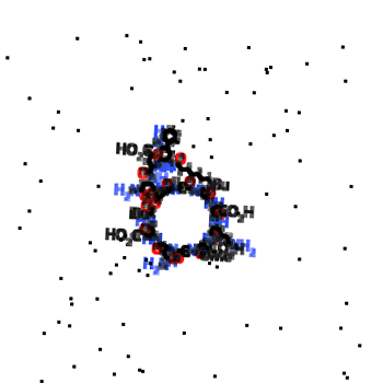 CCC(C)CCCCCCC(=O)NC(Cc1c[nH]c2ccccc12)C(=O)NC(CCC(=O)O)C(=O)NC(CC(N)=O)C(=O)NC1C(=O)N(C)CC(=O)NC(C)C(=O)NC(CC(=O)O)C(=O)NC(CCCCN)C(=O)NC(C(OC)C(=O)O)C(=O)NCC(=O)NC(CC(N)=O)C(=O)NC(CCC(=O)O)C(=O)NC(C(C)CC)C(=O)OC1C